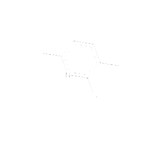 CCOc1nc(Cl)ccc1C